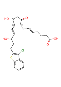 O=C(O)CCCC=CC[C@H]1C(=O)C[C@@H](O)[C@@H]1C=CC(O)CCc1sc2ccccc2c1Cl